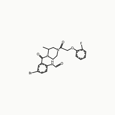 CC1CN(C(=O)COc2ccccc2F)CCN1C(=O)c1cc(Br)ccc1NC=O